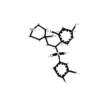 O=S(=O)(c1ccc(F)c(F)c1)C(CC1(F)CCNCC1)c1ccc(F)cc1F